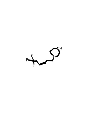 FC(F)(F)C/C=C\CCN1CCNCC1